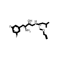 C=CCOC[C@@H](CC(C)C)NC[C@@H](O)[C@@H](N)Cc1cc(F)cc(F)c1